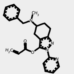 C=CC(=O)Oc1c2c(nn1-c1ccccn1)CCC(N(C)Cc1ccccc1)C2